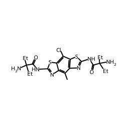 CCC(N)(CC)C(=O)Nc1nc2c(C)c3nc(NC(=O)C(N)(CC)CC)sc3c(Cl)c2s1